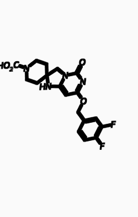 O=C(O)N1CCC2(CC1)Cn1c(cc(OCc3ccc(F)c(F)c3)nc1=O)N2